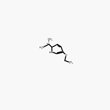 C[C@@H](N)C1C=CC(OCC(F)(F)F)=CN1